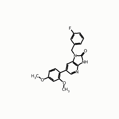 COc1ccc(-c2cnc3[nH]c(=O)n(Cc4cccc(F)c4)c3c2)c(OC)c1